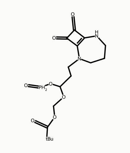 CC(C)(C)C(=O)OCO[C](CCN1CCCNc2c1c(=O)c2=O)O[PH2]=O